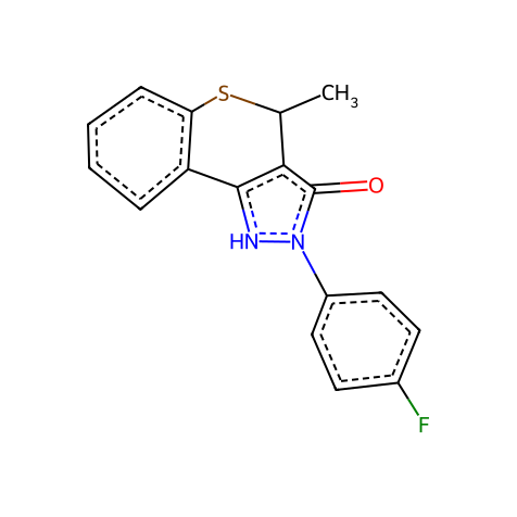 CC1Sc2ccccc2-c2[nH]n(-c3ccc(F)cc3)c(=O)c21